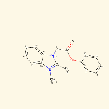 CCc1n(CC(=O)Oc2ccccc2)c2ccccc2[n+]1C